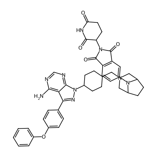 Nc1ncnc2c1c(-c1ccc(Oc3ccccc3)cc1)nn2C1CCC(CN2CC3CCC(C2)N3c2ccc3c(c2)C(=O)N(C2CCC(=O)NC2=O)C3=O)CC1